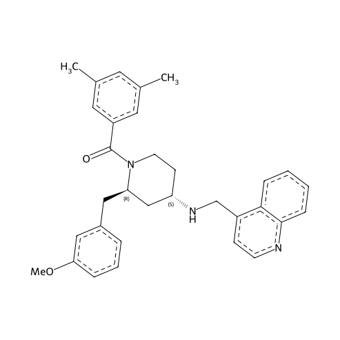 COc1cccc(C[C@@H]2C[C@@H](NCc3ccnc4ccccc34)CCN2C(=O)c2cc(C)cc(C)c2)c1